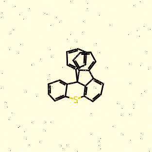 c1ccc(C23c4ccccc4Sc4cccc(c42)-c2ccccc23)cc1